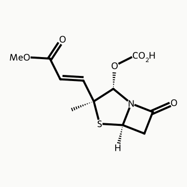 COC(=O)/C=C/[C@]1(C)S[C@@H]2CC(=O)N2[C@H]1OC(=O)O